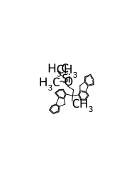 CCC(CCO[Si](CC)(CC)CC)(c1cccc2c1Cc1ccccc1-2)c1cccc2c1Cc1ccccc1-2